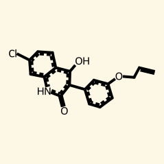 C=CCOc1cccc(-c2c(O)c3ccc(Cl)cc3[nH]c2=O)c1